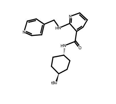 CC(C)(C)[C@H]1CC[C@H](NC(=O)c2cccnc2NCc2ccncc2)CC1